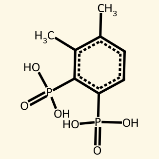 Cc1ccc(P(=O)(O)O)c(P(=O)(O)O)c1C